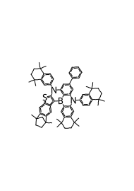 CC1(C)CCC(C)(C)c2cc(N3c4cc5c(cc4B4c6c3cc(-c3ccccc3)cc6N(c3ccc6c(c3)C(C)(C)CCC6(C)C)c3sc6cc7c(cc6c34)C3(C)CCC7(C)C3)C(C)(C)CCC5(C)C)ccc21